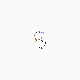 [CH]C=C1N=CCS1